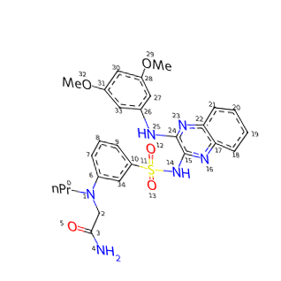 CCCN(CC(N)=O)c1cccc(S(=O)(=O)Nc2nc3ccccc3nc2Nc2cc(OC)cc(OC)c2)c1